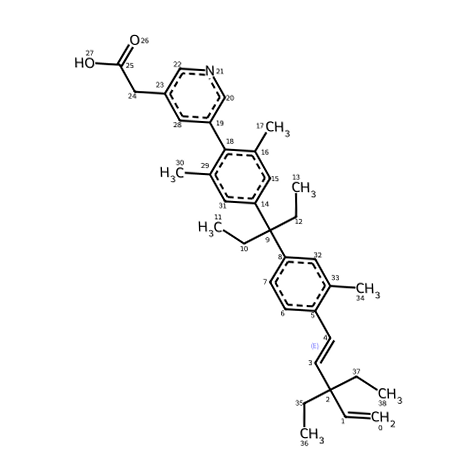 C=CC(/C=C/c1ccc(C(CC)(CC)c2cc(C)c(-c3cncc(CC(=O)O)c3)c(C)c2)cc1C)(CC)CC